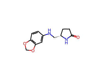 O=C1CC[C@@H](CNc2ccc3c(c2)OCO3)N1